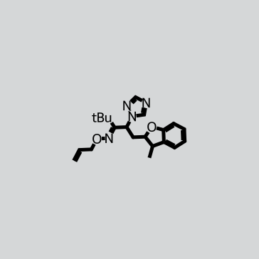 C=CCON=C(C(CC1Oc2ccccc2C1C)n1cncn1)C(C)(C)C